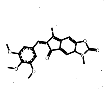 COc1cc(C=C2C(=O)C3=CC4C(=CC3=C2C)OC(=O)N4C)cc(OC)c1OC